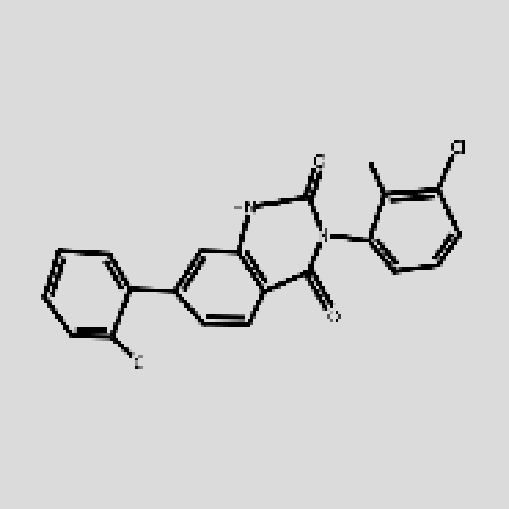 Cc1c(Cl)cccc1-n1c(=O)[nH]c2cc(-c3ccccc3Cl)ccc2c1=O